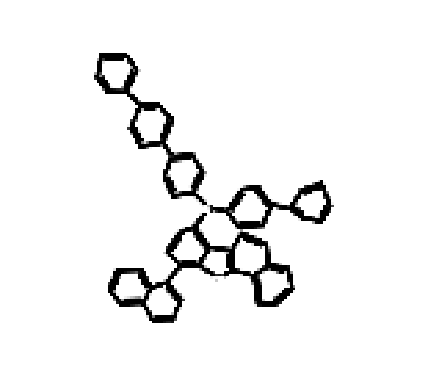 c1ccc(-c2ccc(-c3ccc(N(c4ccc(-c5ccccc5)cc4)c4ccc(-c5cccc6ccccc56)c5oc6c7ccccc7ccc6c45)cc3)cc2)cc1